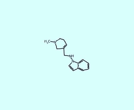 CN1CCC=C(CNn2ccc3ccccc32)C1